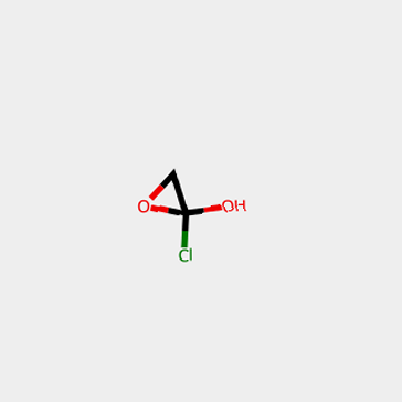 OC1(Cl)CO1